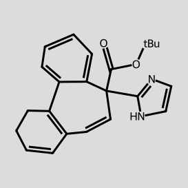 CC(C)(C)OC(=O)C1(c2ncc[nH]2)C=CC2=C(CCC=C2)c2ccccc21